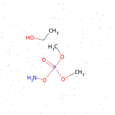 CCO.COP(=O)(OC)ON